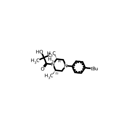 C[C@@H]1CN(c2ccc(C(C)(C)C)cc2)C[C@H](C)N1C(=O)C(C)(C)O